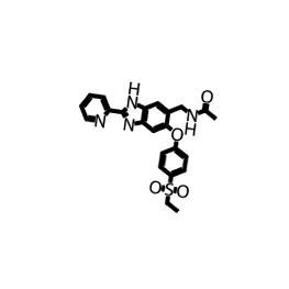 CCS(=O)(=O)c1ccc(Oc2cc3nc(-c4ccccn4)[nH]c3cc2CNC(C)=O)cc1